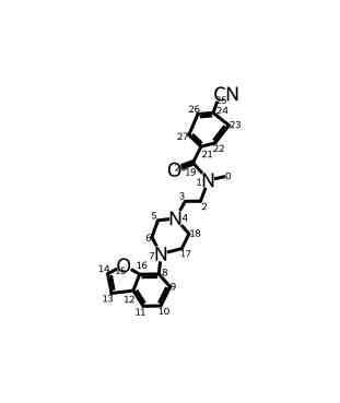 CN(CCN1CCN(c2cccc3ccoc23)CC1)C(=O)c1ccc(C#N)cc1